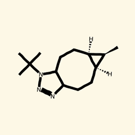 C[C@H]1[C@H]2CCC3N=NN(C(C)(C)C)C3CC[C@@H]12